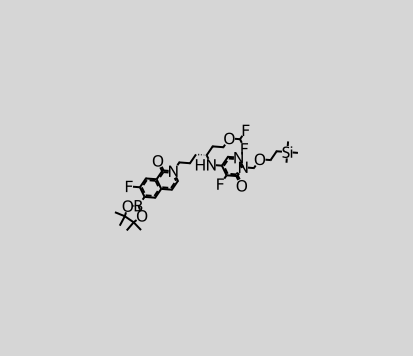 CC1(C)OB(c2cc3ccn(CCC[C@H](CCOC(F)F)Nc4cnn(COCC[Si](C)(C)C)c(=O)c4F)c(=O)c3cc2F)OC1(C)C